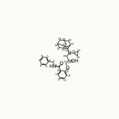 O=C(NCc1ccccc1)c1ccccc1OCC(O)CN(C1CC1)C1C2CC3CC(C2)CC1C3